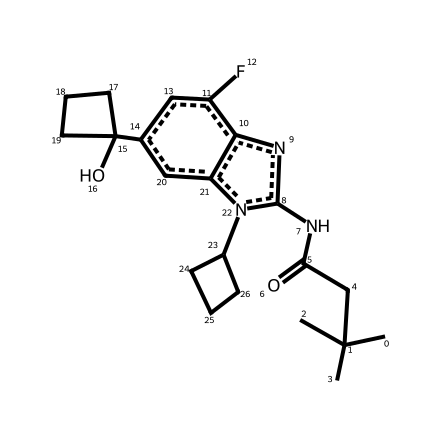 CC(C)(C)CC(=O)Nc1nc2c(F)cc(C3(O)CCC3)cc2n1C1CCC1